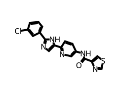 O=C(Nc1ccc(-c2cnc(-c3cccc(Cl)c3)[nH]2)nc1)c1cscn1